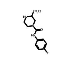 CCOC(=O)C1CN(C(=O)Nc2ccc(F)cc2)CCN1